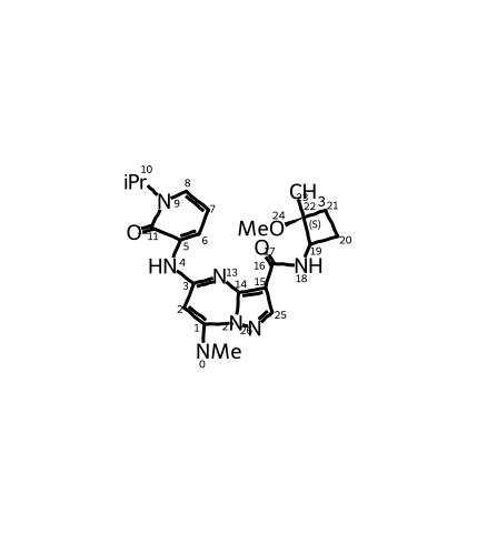 CNc1cc(Nc2cccn(C(C)C)c2=O)nc2c(C(=O)NC3CC[C@]3(C)OC)cnn12